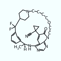 C[C@H]1Nc2ncnc3c2cc(C2(C#N)CC2)c(=O)n3CCOCCCCN2CCC(CC2)C(F)(F)c2cccc1c2